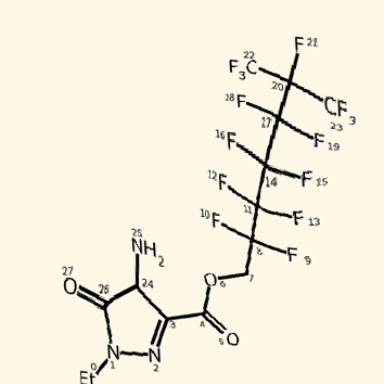 CCN1N=C(C(=O)OCC(F)(F)C(F)(F)C(F)(F)C(F)(F)C(F)(C(F)(F)F)C(F)(F)F)C(N)C1=O